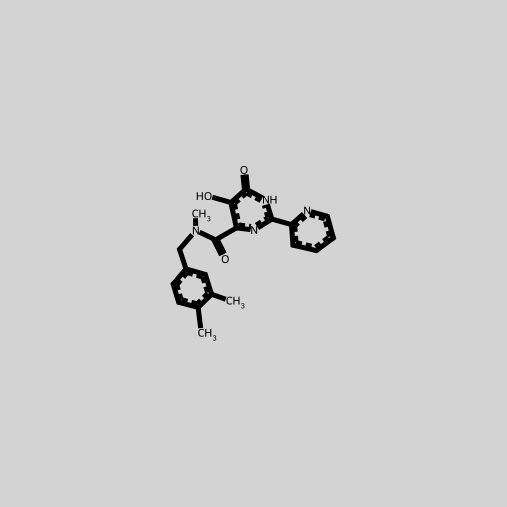 Cc1ccc(CN(C)C(=O)c2nc(-c3ccccn3)[nH]c(=O)c2O)cc1C